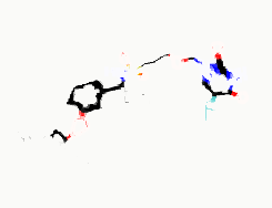 CC[C@@H](C)Oc1cccc([C@@H](C)NS(=O)(=O)CCCOCn2cc(F)c(=O)[nH]c2=O)c1